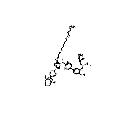 COCCOCCOCCOCCOc1nn([C@H]2CC[C@H](N3[C@@H]4CC[C@H]3COC4)CC2)cc1Nc1ncc(-c2ccc(C#N)c(O[C@@H](C)Cn3cnnn3)c2)cn1